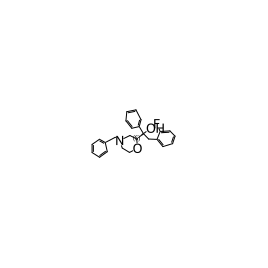 OC(Cc1ccccc1F)(c1ccccc1)[C@@H]1CN(Cc2ccccc2)CCO1